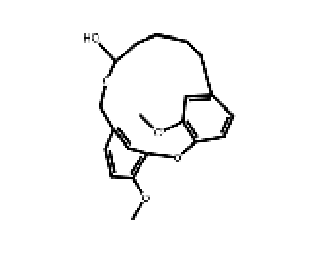 COc1cc2ccc1Oc1cc(ccc1OC)CCC(O)CCCC2